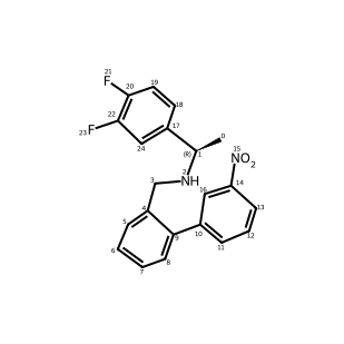 C[C@@H](NCc1ccccc1-c1cccc([N+](=O)[O-])c1)c1ccc(F)c(F)c1